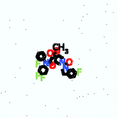 COC(=O)C1(CC(=O)N(c2ccccc2F)C2CCC(F)(F)CC2)CCN(C(=O)N2CCc3ccc(F)cc32)CC1